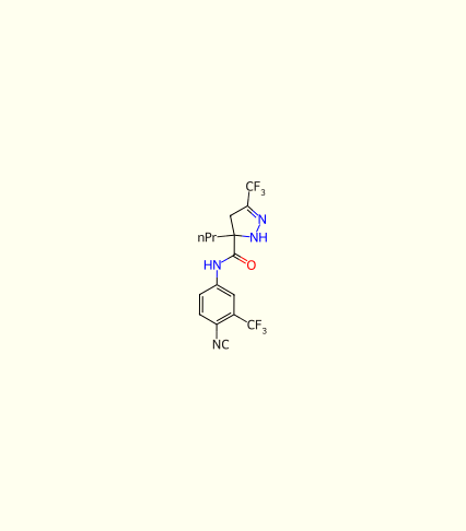 [C-]#[N+]c1ccc(NC(=O)C2(CCC)CC(C(F)(F)F)=NN2)cc1C(F)(F)F